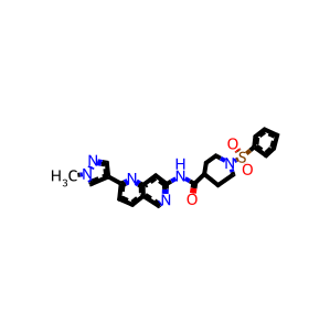 Cn1cc(-c2ccc3cnc(NC(=O)C4CCN(S(=O)(=O)c5ccccc5)CC4)cc3n2)cn1